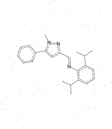 CC(C)c1cccc(C(C)C)c1/N=C/c1cc(-c2ccccc2)n(C)n1